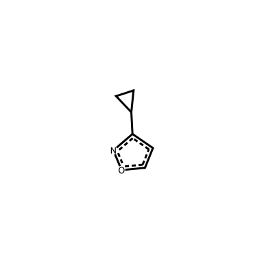 c1cc(C2CC2)no1